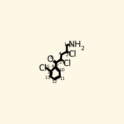 NCC(Cl)CC(Cl)C(=O)c1ccccc1Cl